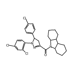 O=C(C1=NN(c2ccc(Cl)cc2Cl)C(c2ccc(Cl)cc2)C1)N1C2CCCCC2C2CCCCC21